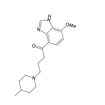 COc1ccc(C(=O)CCCN2CCC(C)CC2)c2nc[nH]c12